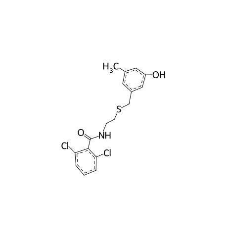 Cc1cc(O)cc(CSCCNC(=O)c2c(Cl)cccc2Cl)c1